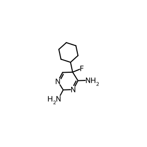 NC1=NC(N)N=CC1(F)C1CCCCC1